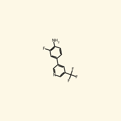 Nc1ccc(-c2cncc(C(F)(F)F)c2)cc1F